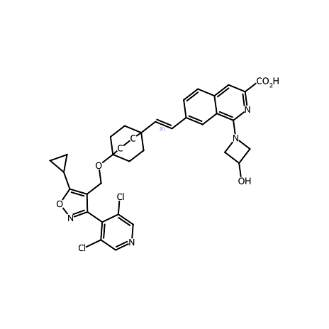 O=C(O)c1cc2ccc(/C=C/C34CCC(OCc5c(-c6c(Cl)cncc6Cl)noc5C5CC5)(CC3)CC4)cc2c(N2CC(O)C2)n1